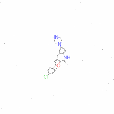 C=C1Nc2ccc(N3CCNCC3)cc2Cc2cc(-c3ccc(Cl)cc3)oc21